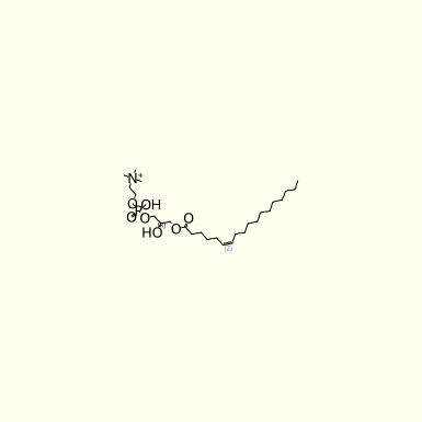 CCCCCCCCCCC/C=C\CCCCC(=O)OC[C@@H](O)COP(=O)(O)OCC[N+](C)(C)C